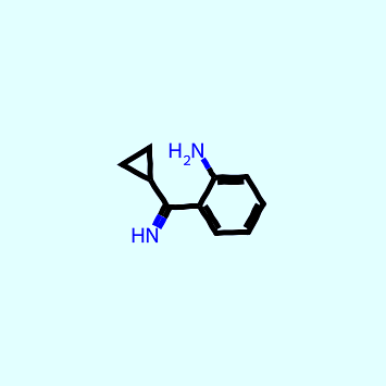 N=C(c1ccccc1N)C1CC1